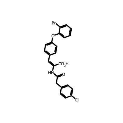 O=C(Cc1ccc(Cl)cc1)N/C(=C/c1ccc(Oc2ccccc2Br)cc1)C(=O)O